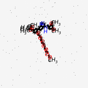 COCCOCCOCCOCCOCCOCCOc1ccc(B2OC(C)(C)C(C)(C)O2)cc1-c1ccc2c(NCc3ccc(OC)cc3OC)cnnc2c1